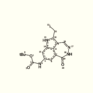 CC(C)(C)OC(=O)Nc1cc2c3c(c(CI)[nH]c3c1)C=NNC2=O